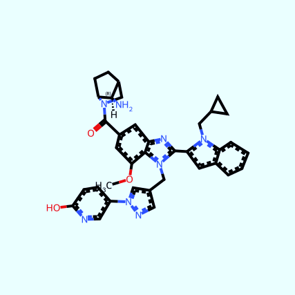 COc1cc(C(=O)N2CC3CCC2[C@@H]3N)cc2nc(-c3cc4ccccc4n3CC3CC3)n(Cc3cnn(-c4ccc(O)nc4)c3)c12